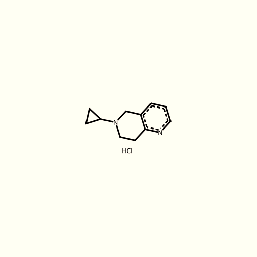 Cl.c1cnc2c(c1)CN(C1CC1)CC2